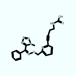 Cn1nnnc1/C(=N\OCc1cccc(C#CCCNC(=O)O)n1)c1ccccc1